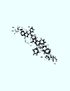 CC1(C)c2cc(N(c3ccccc3)c3ccc4ccc([Si](C)(C)C)cc4c3)ccc2-c2c1cc(N(c1ccccc1)c1ccc3ccc([Si](C)(C)C)cc3c1)c1ccccc21